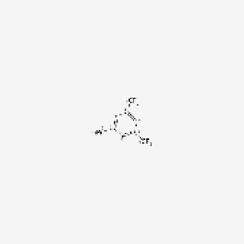 CC[CH]c1cc(C(F)(F)F)cc(C(F)(F)F)c1